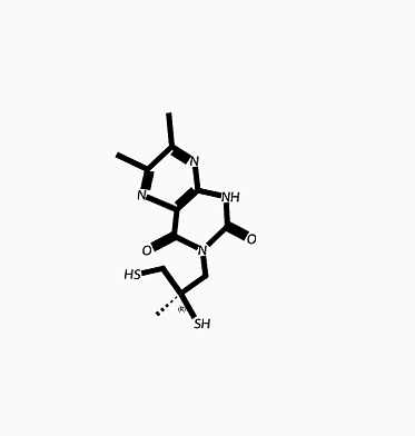 Cc1nc2[nH]c(=O)n(C[C@@](C)(S)CS)c(=O)c2nc1C